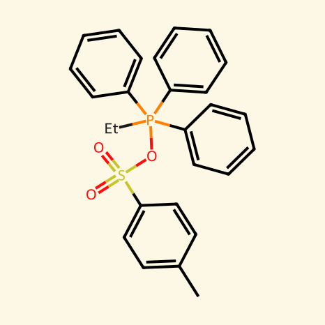 CCP(OS(=O)(=O)c1ccc(C)cc1)(c1ccccc1)(c1ccccc1)c1ccccc1